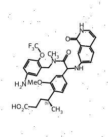 COc1cc(C(Nc2ccc3cc[nH]c(=O)c3c2)C(=O)N(C)Cc2cc(N)ccc2OC(F)(F)F)ccc1[C@@H](C)CCC(=O)O